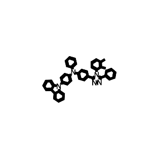 Cc1cccc(-n2c(-c3ccccc3)nnc2-c2ccc(N(c3ccccc3)c3ccc(-n4c5ccccc5c5ccccc54)cc3)cc2)c1C